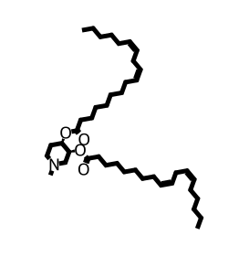 CCCCC/C=C\C/C=C\CCCCCCCC(=O)O[C@H]1CN(C)CC[C@H]1OC(=O)CCCCCCC/C=C\C/C=C\CCCCC